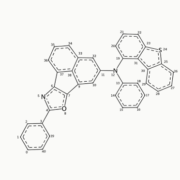 c1ccc(-c2nc3c(o2)-c2cc(N(c4ccccc4)c4cccc5sc6ccccc6c45)cc4cccc-3c24)cc1